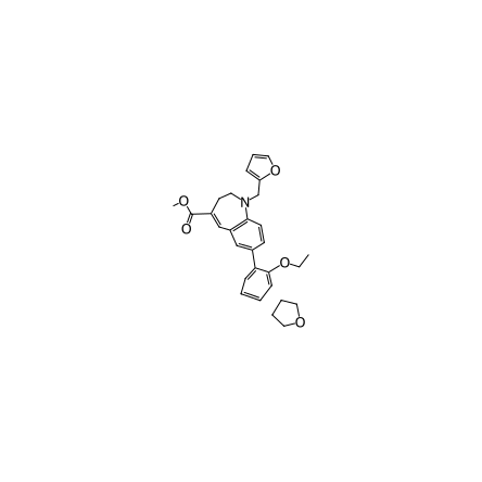 C1CCOC1.CCOc1ccccc1-c1ccc2c(c1)C=C(C(=O)OC)CCN2Cc1ccco1